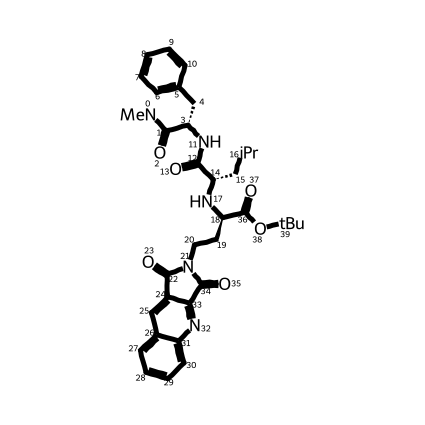 CNC(=O)[C@H](Cc1ccccc1)NC(=O)[C@H](CC(C)C)N[C@H](CCN1C(=O)c2cc3ccccc3nc2C1=O)C(=O)OC(C)(C)C